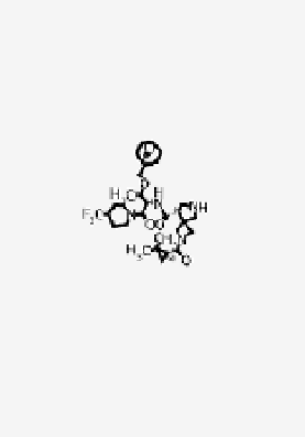 C[C@@H](OCC12CCC(CC1)OC2)[C@H](NC(=O)[C@@H]1CNCC12CN(C(=O)[C@H]1CC1(C)C)C2)C(=O)N1CCC(C(F)(F)F)CC1